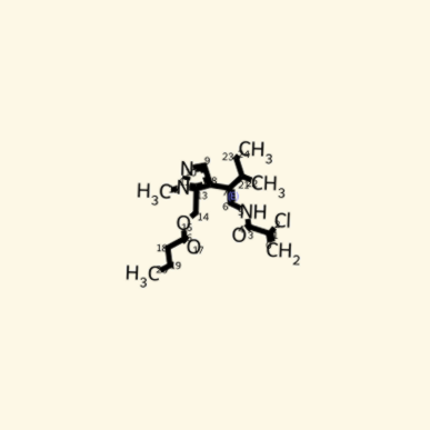 C=C(Cl)C(=O)N/C=C(/c1cnn(C)c1COC(=O)CCC)C(C)CC